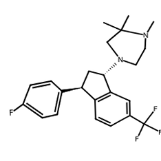 CN1CCN([C@H]2C[C@H](c3ccc(F)cc3)c3ccc(C(F)(F)F)cc32)CC1(C)C